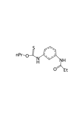 CCCOC(=S)Nc1cccc(NC(=O)CC)c1